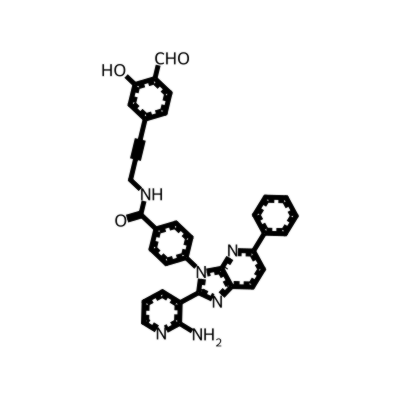 Nc1ncccc1-c1nc2ccc(-c3ccccc3)nc2n1-c1ccc(C(=O)NCC#Cc2ccc(C=O)c(O)c2)cc1